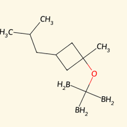 BC(B)(B)OC1(C)CC(CC(C)C)C1